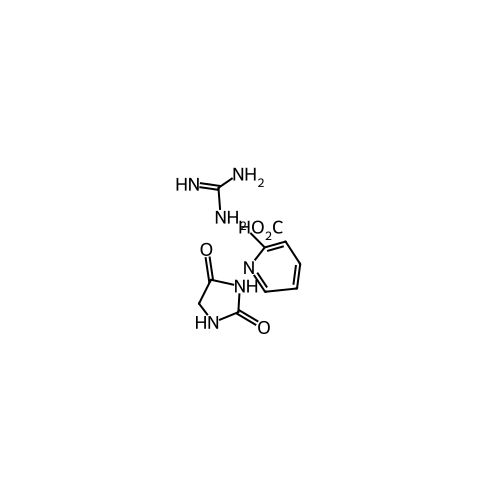 N=C(N)N.O=C(O)c1ccccn1.O=C1CNC(=O)N1